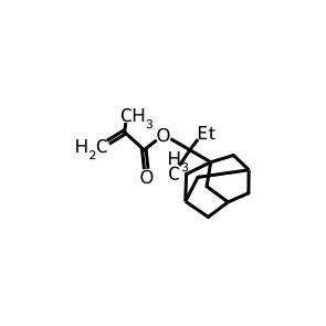 C=C(C)C(=O)OC(C)(CC)C12CC3CC(CC(C3)C1)C2